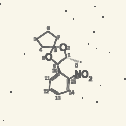 [CH2][C@H]1OC2(CCCC2)O[C@@H]1c1ccccc1[N+](=O)[O-]